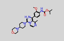 C=C(N1CCC(N2CCOCC2)CC1)N1C=CN=C(C)/C1=C(/N)c1ccc(NC(=O)OC(C)C)c(OC)c1